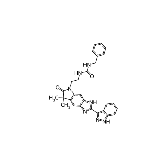 CC1(C)C(=O)N(CCNC(=O)NCc2ccccc2)c2cc3[nH]c(-c4n[nH]c5ccccc45)nc3cc21